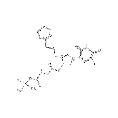 CC(C)(C)OC(=O)NCC(=O)OC1C[C@@H](n2cc(F)c(=O)[nH]c2=O)O[C@H]1COCc1ccccc1